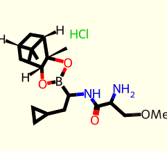 COCC(N)C(=O)NC(CC1CC1)B1O[C@@H]2C[C@@H]3C[C@@H](C3(C)C)[C@]2(C)O1.Cl